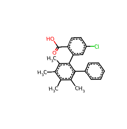 Cc1c(C)c(C)c(-c2cc(Cl)ccc2C(=O)O)c(-c2ccccc2)c1C